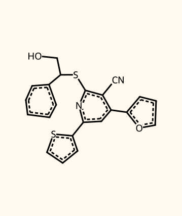 N#Cc1c(-c2ccco2)cc(-c2cccs2)nc1SC(CO)c1ccccc1